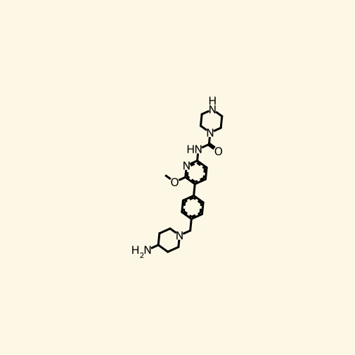 COc1nc(NC(=O)N2CCNCC2)ccc1-c1ccc(CN2CCC(N)CC2)cc1